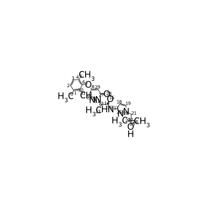 Cc1ccc(C)c(Oc2cnn(C(C)C(=O)Nc3ccn(CC(C)(C)O)n3)c(=O)c2)c1C